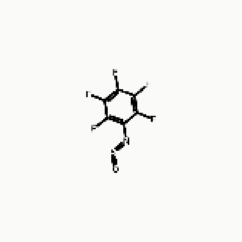 O=S=Nc1c(F)c(F)c(F)c(F)c1F